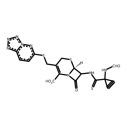 O=CNC1(C(=S)NC2C(=O)N3C(C(=O)O)=C(CSc4ccc5nnnn5n4)CS[C@@H]23)C#C1